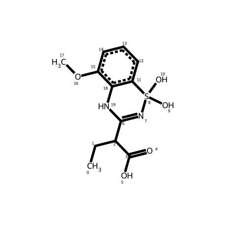 CCC(C(=O)O)C1=NS(O)(O)c2cccc(OC)c2N1